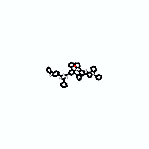 C1=CCC(c2nc(-c3cc(-c4ccccc4)c(-n4c5ccccc5c5c6oc7c(ccc8c7c7ccccc7n8C7=CCCC=C7)c6ccc54)c(-c4ccccc4)c3)nc(-c3ccc4c(c3)oc3ccccc34)n2)C=C1